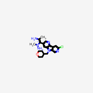 C/C(N)=C(\c1cnc2c3cc(Cl)ncc3n(CC3CCOCC3)c2c1)N(C)N